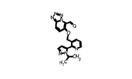 CC(C)n1nccc1-c1ncccc1COc1ccc2nnnn2c1C=O